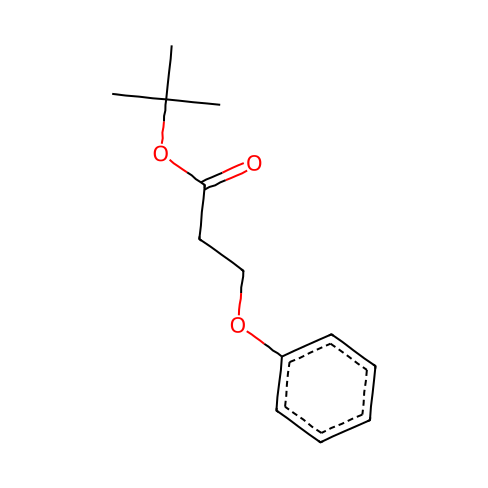 CC(C)(C)OC(=O)CCOc1ccccc1